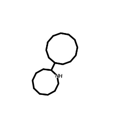 C1CCCCCC(C2CCCCCCCCN2)CCCCC1